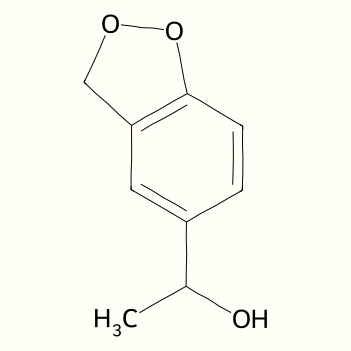 CC(O)c1ccc2c(c1)COO2